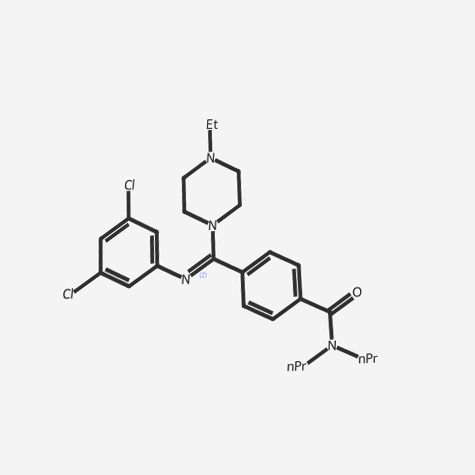 CCCN(CCC)C(=O)c1ccc(/C(=N/c2cc(Cl)cc(Cl)c2)N2CCN(CC)CC2)cc1